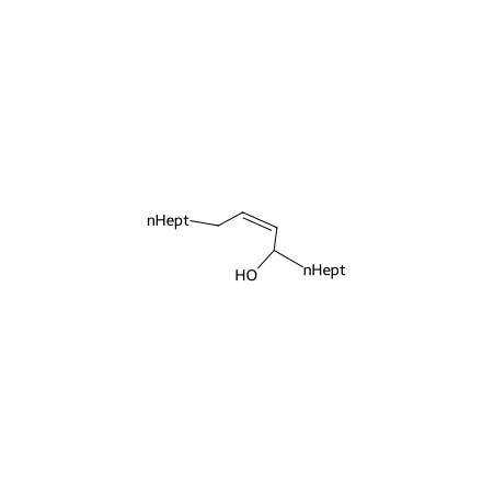 CCCCCCCC/C=C\C(O)CCCCCCC